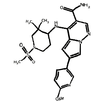 COc1ccc(-c2cc3c(NC4CCN(S(C)(=O)=O)CC4(C)C)c(C(N)=O)cnn3c2)cn1